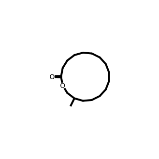 CC1CCCCCCCCCCCCCC(=O)OC1